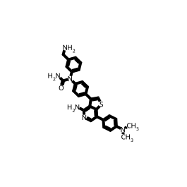 CN(C)c1ccc(-c2cnc(N)c3c(-c4ccc(N(C(N)=O)c5cccc(CN)c5)cc4)csc23)cc1